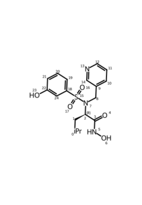 CC(C)C[C@H](C(=O)NO)N(Cc1cccnc1)S(=O)(=O)c1cccc(O)c1